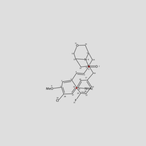 COc1cc(/C=C/C(=O)N2C3COCC2CN(Cc2ccc(F)cc2)C3)c(NC(C)=O)cc1Cl